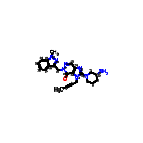 CC#CCn1c(N2CCC[C@@H](N)C2)nc2cnn(Cc3nn(C)c4ccccc34)c(=O)c21